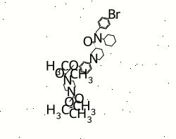 CC(C)(C)OC(=O)N1CCN(C(=O)C(C)(C)Oc2cccc(N3CCC[C@@H](C(=O)N(Cc4ccc(Br)cc4)C4CCCCC4)C3)c2)CC1